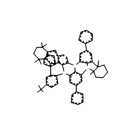 CC(C)(C)c1ccc(N2c3cc(-c4ccccc4)cc4c3B(c3cc(-c5ccccc5)cc5c3N4C3(C)CCCCC53C)c3oc4cc5c(cc4c32)C(C)(C)CCC5(C)C)c(-c2ccccc2)c1